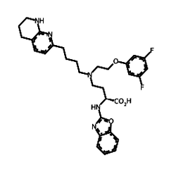 O=C(O)[C@H](CCN(CCCCc1ccc2c(n1)NCCC2)CCOc1cc(F)cc(F)c1)Nc1nc2ccccc2o1